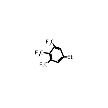 [CH2]Cc1cc(C(F)(F)F)c(C(F)(F)F)c(C(F)(F)F)c1